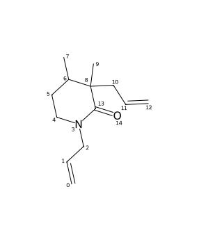 C=CCN1CCC(C)C(C)(CC=C)C1=O